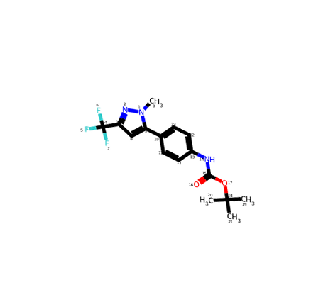 Cn1nc(C(F)(F)F)cc1-c1ccc(NC(=O)OC(C)(C)C)cc1